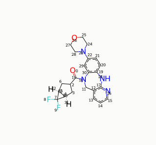 O=C(C1C[C@@H]2[C@H](C1)C2(F)F)N1Cc2cccnc2Nc2ccc(N3CCOCC3)cc21